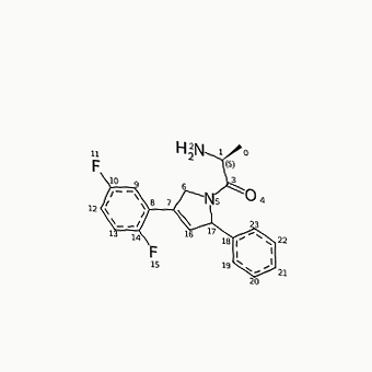 C[C@H](N)C(=O)N1CC(c2cc(F)ccc2F)=CC1c1ccccc1